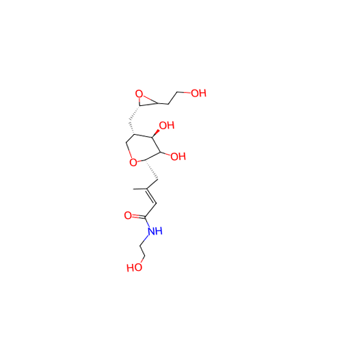 C/C(=C\C(=O)NCCO)C[C@@H]1OC[C@H](C[C@@H]2OC2CCO)[C@@H](O)C1O